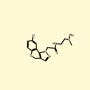 CN(CCNC(=O)Cn1ncc2c1-c1cc(Cl)ccc1OC2)C(C)(C)C